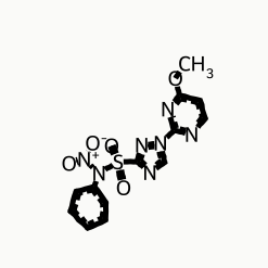 COc1ccnc(-n2cnc(S(=O)(=O)N(c3ccccc3)[N+](=O)[O-])n2)n1